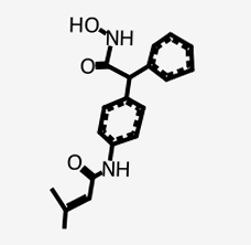 CC(C)=CC(=O)Nc1ccc(C(C(=O)NO)c2ccccc2)cc1